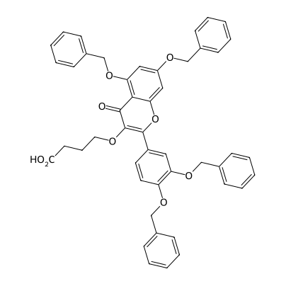 O=C(O)CCCOc1c(-c2ccc(OCc3ccccc3)c(OCc3ccccc3)c2)oc2cc(OCc3ccccc3)cc(OCc3ccccc3)c2c1=O